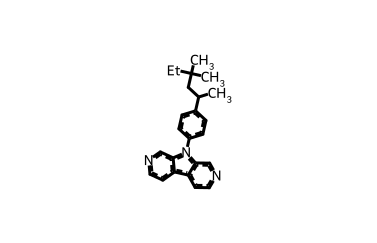 CCC(C)(C)CC(C)c1ccc(-n2c3cnccc3c3ccncc32)cc1